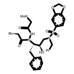 CC[C@H](C)CC(=O)N(NC(=O)CNC)[C@@H](Cc1ccccc1)[C@H](O)CN(CC(C)C)S(=O)(=O)c1ccc2c(c1)OCO2